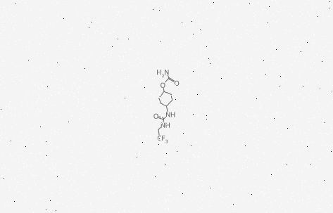 NC(=O)OC1CCC(NC(=O)NCC(F)(F)F)CC1